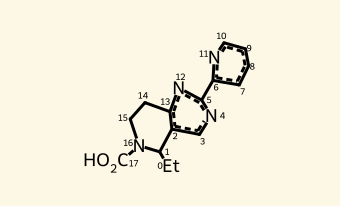 CCC1c2cnc(-c3ccccn3)nc2CCN1C(=O)O